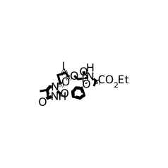 CCOC(=O)[C@H](C)NP(=O)(CO[C@@H]1O[C@H](n2cc(C)c(=O)[nH]c2=O)C[C@@H]1I)Oc1ccccc1